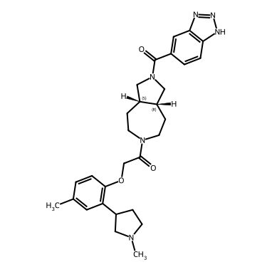 Cc1ccc(OCC(=O)N2CC[C@@H]3CN(C(=O)c4ccc5[nH]nnc5c4)C[C@@H]3CC2)c(C2CCN(C)C2)c1